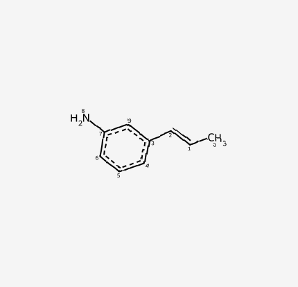 C/C=C/c1cccc(N)c1